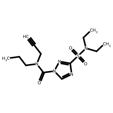 C#CCN(CCC)C(=O)n1cnc(S(=O)(=O)N(CC)CC)n1